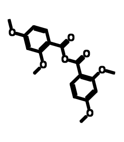 COc1ccc(C(=O)OC(=O)c2ccc(OC)cc2OC)c(OC)c1